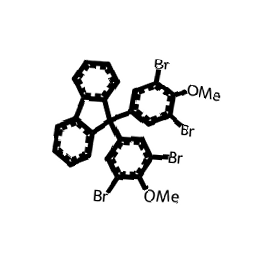 COc1c(Br)cc(C2(c3cc(Br)c(OC)c(Br)c3)c3ccccc3-c3ccccc32)cc1Br